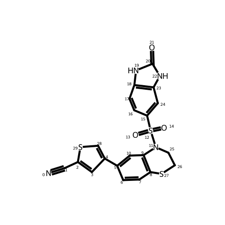 N#Cc1cc(-c2ccc3c(c2)N(S(=O)(=O)c2ccc4[nH]c(=O)[nH]c4c2)CCS3)cs1